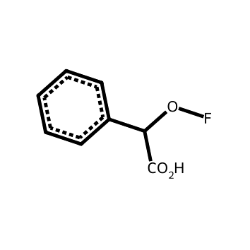 O=C(O)C(OF)c1ccccc1